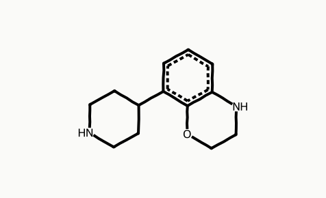 c1cc2c(c(C3CCNCC3)c1)OCCN2